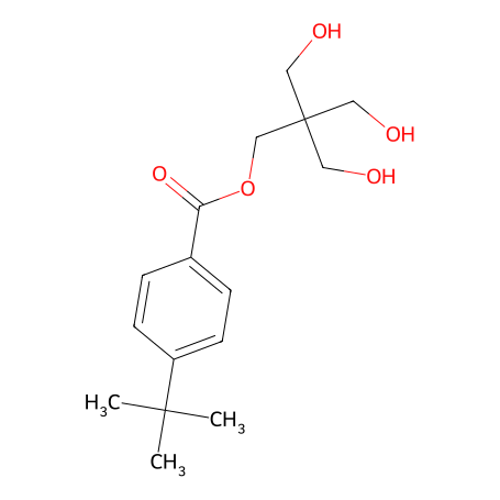 CC(C)(C)c1ccc(C(=O)OCC(CO)(CO)CO)cc1